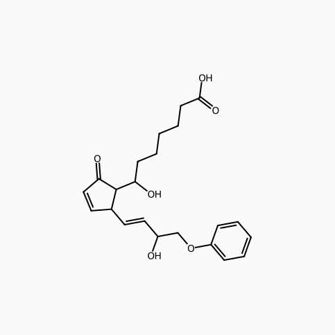 O=C(O)CCCCCC(O)C1C(=O)C=CC1C=CC(O)COc1ccccc1